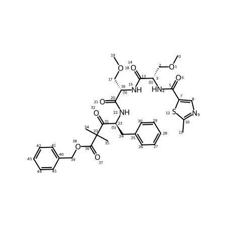 COC[C@H](NC(=O)c1cnc(C)s1)C(=O)N[C@@H](COC)C(=O)N[C@@H](Cc1ccccc1)C(=O)C(C)(C)C(=O)OCc1ccccc1